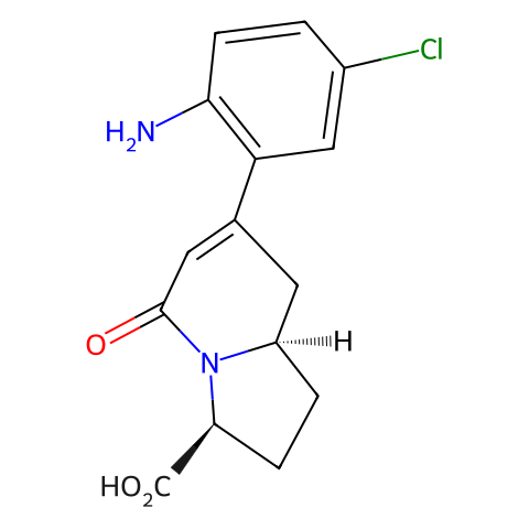 Nc1ccc(Cl)cc1C1=CC(=O)N2[C@H](CC[C@H]2C(=O)O)C1